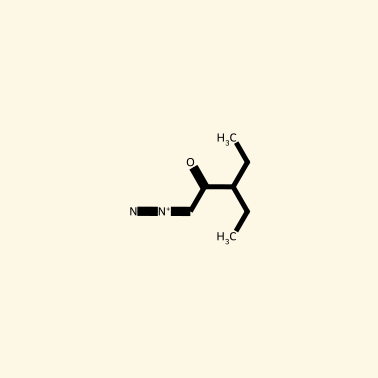 CCC(CC)C(=O)C=[N+]=[N-]